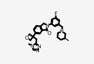 C[C@H]1CCCN(Cc2cc(F)cc(N3Cc4ccc(C5(Cc6nncn6C)COC5)cc4C3=O)c2)C1